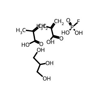 C=C(C)C(=O)O.C=C(C)C(=O)O.O=P(O)(O)F.OCC(O)CO